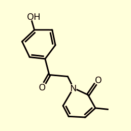 Cc1cccn(CC(=O)c2ccc(O)cc2)c1=O